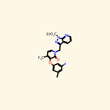 CCOC(=O)n1nc(Cn2ccc(C(F)(F)F)c(Oc3cc(C)cc(I)c3)c2=O)c2cccnc21